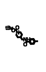 Cc1ccc(C(=O)NCC2CCN(C(=O)OC(C)(C)C)CC2)cc1